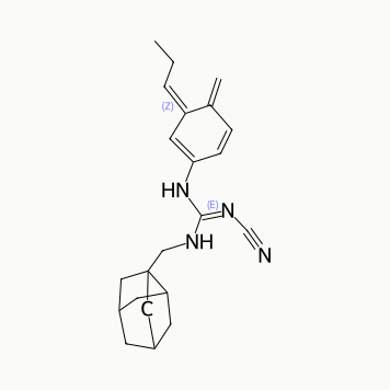 C=c1ccc(N/C(=N/C#N)NCC23CC4CC(CC2C4)C3)c/c1=C/CC